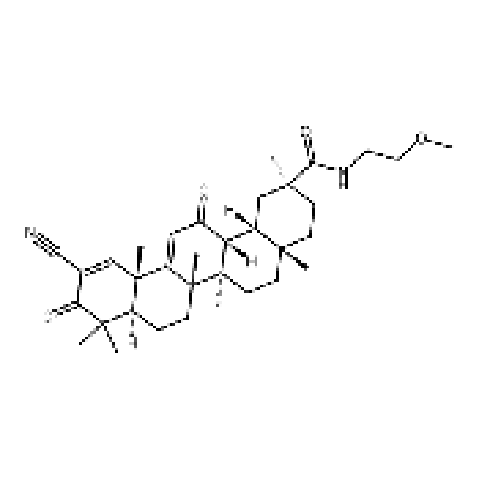 COCCNC(=O)[C@@]1(C)CC[C@]2(C)CC[C@]3(C)[C@H](C(=O)C=C4[C@@]5(C)C=C(C#N)C(=O)C(C)(C)[C@@H]5CC[C@]43C)[C@@H]2C1